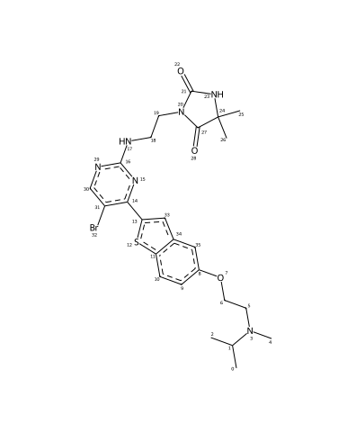 CC(C)N(C)CCOc1ccc2sc(-c3nc(NCCN4C(=O)NC(C)(C)C4=O)ncc3Br)cc2c1